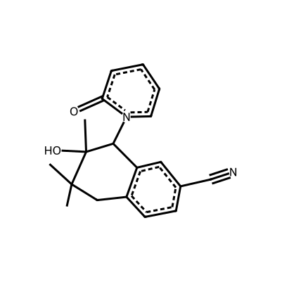 CC1(C)Cc2ccc(C#N)cc2C(n2ccccc2=O)C1(C)O